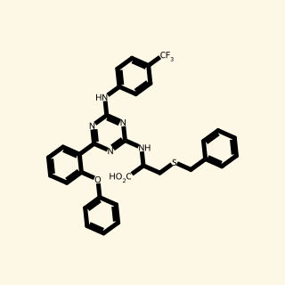 O=C(O)C(CSCc1ccccc1)Nc1nc(Nc2ccc(C(F)(F)F)cc2)nc(-c2ccccc2Oc2ccccc2)n1